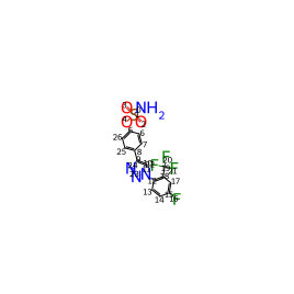 NS(=O)(=O)Oc1ccc(-c2cn(-c3ccc(F)cc3C(F)(F)F)nn2)cc1